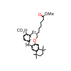 CCc1cc([Se]c2cc3c(cc2OCCCCCCCC(=O)OC)C(C)(C)CCC3(C)C)ccc1C(=O)O